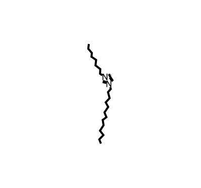 CCCCCCCCCCCCCn1cc[n+](CCCCCCCC)c1